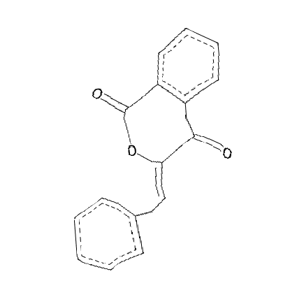 O=C1OC(=Cc2ccccc2)C(=O)c2ccccc21